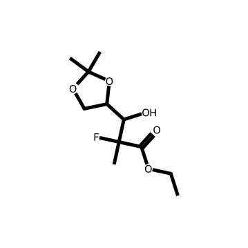 CCOC(=O)C(C)(F)C(O)C1COC(C)(C)O1